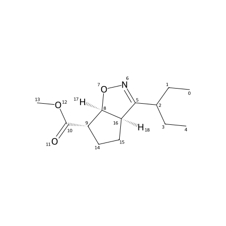 CCC(CC)C1=NO[C@@H]2[C@@H](C(=O)OC)CC[C@H]12